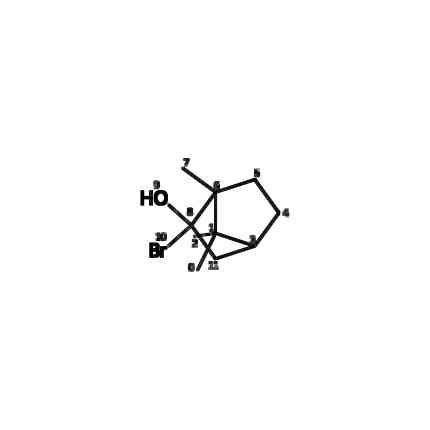 CC1(C)C2CCC1(C)C(O)(Br)C2